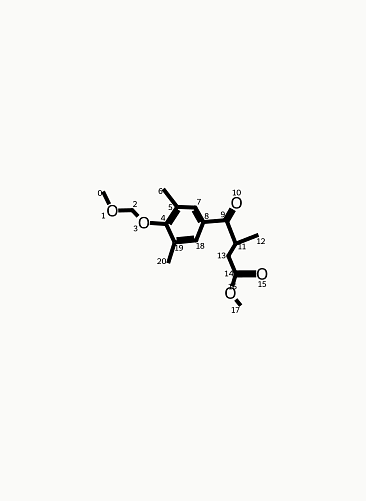 COCOc1c(C)cc(C(=O)C(C)CC(=O)OC)cc1C